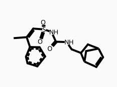 CC(=CS(=O)(=O)NC(=O)NCC1CC2C=CC1C2)c1ccccc1